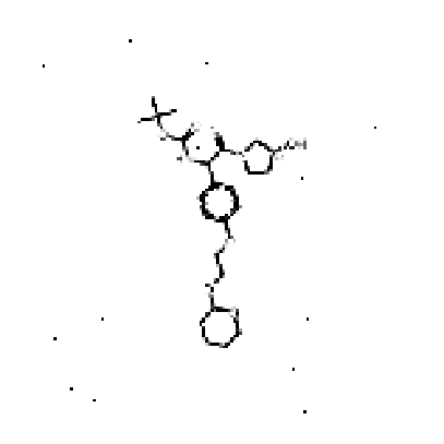 CC(C)(C)OC(=O)NC(C(=O)N1CC[C@H](O)C1)c1ccc(OCCOC2CCCCO2)cc1